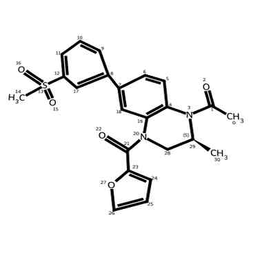 CC(=O)N1c2ccc(-c3cccc(S(C)(=O)=O)c3)cc2N(C(=O)c2ccco2)C[C@@H]1C